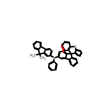 CC1(C)c2ccccc2-c2ccc(N(c3ccccc3)c3ccc4c(c3)-c3ccccc3C43c4ccccc4Sc4ccc5ccccc5c43)cc21